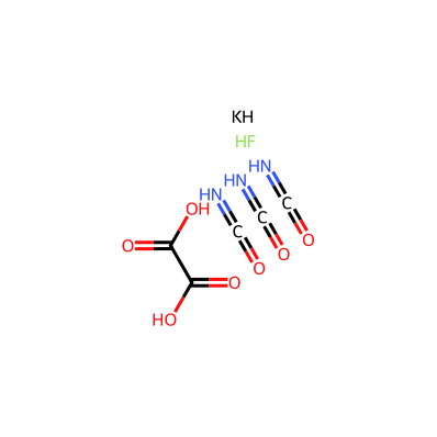 F.N=C=O.N=C=O.N=C=O.O=C(O)C(=O)O.[KH]